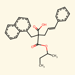 CCC(C)OC(=O)C(CC=Cc1ccccc1)(Cc1cccc2ccccc12)C(=O)O